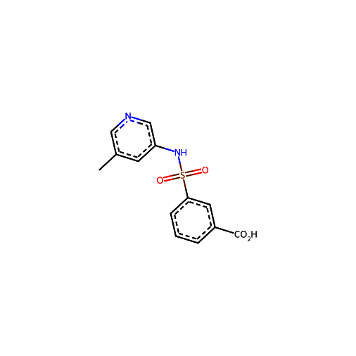 Cc1cncc(NS(=O)(=O)c2cccc(C(=O)O)c2)c1